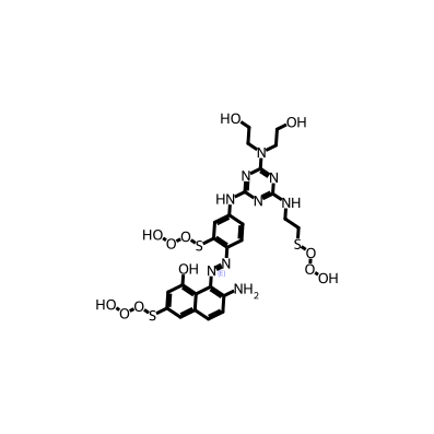 Nc1ccc2cc(SOOO)cc(O)c2c1/N=N/c1ccc(Nc2nc(NCCSOOO)nc(N(CCO)CCO)n2)cc1SOOO